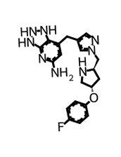 Nc1cc(Cc2cnn(C[C@H]3C[C@H](Oc4ccc(F)cc4)CN3)c2)c2c(n1)NNN2